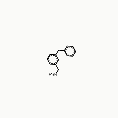 CNCc1cccc(Cc2ccccc2)c1